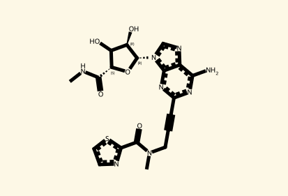 CNC(=O)[C@H]1O[C@@H](n2cnc3c(N)nc(C#CCN(C)C(=O)c4nccs4)nc32)[C@H](O)C1O